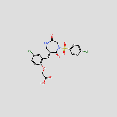 O=C(O)COc1ccc(Cl)cc1C=C1CNC(=O)CN(S(=O)(=O)c2ccc(Cl)cc2)C1=O